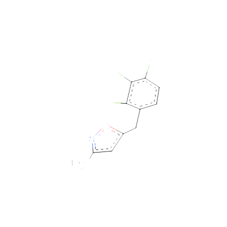 O=C(O)c1cc(Cc2ccc(F)c(F)c2F)on1